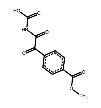 COC(=O)c1ccc(C(=O)C(=O)NC(=O)O)cc1